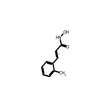 Cc1ccccc1/C=C/C(=O)NO